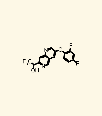 OC(c1cc2ncc(Oc3ccc(F)cc3F)cc2cn1)C(F)(F)F